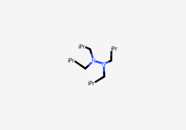 CC(C)CN(CC(C)C)N(CC(C)C)CC(C)C